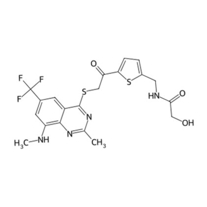 CNc1cc(C(F)(F)F)cc2c(SCC(=O)c3ccc(CNC(=O)CO)s3)nc(C)nc12